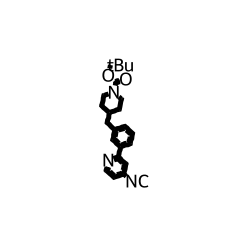 [C-]#[N+]c1ccnc(-c2cccc(CC3CCN(C(=O)OC(C)(C)C)CC3)c2)c1